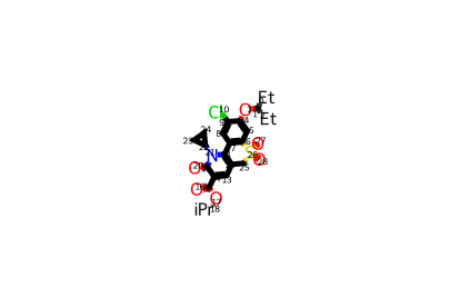 CCC(CC)Oc1cc2c(cc1Cl)-c1c(cc(C(=O)OC(C)C)c(=O)n1C1CC1)CS2(=O)=O